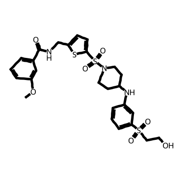 COc1cccc(C(=O)NCc2ccc(S(=O)(=O)N3CCC(Nc4cccc(S(=O)(=O)CCO)c4)CC3)s2)c1